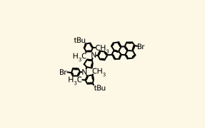 Cc1cc(C(C)(C)C)cc(C)c1N(C1=CCC(N(c2ccc(Br)cc2)c2c(C)cc(C(C)(C)C)cc2C)C=C1)c1ccc(-c2ccc3c4cccc5c(Br)ccc(c6cccc2c63)c54)cc1